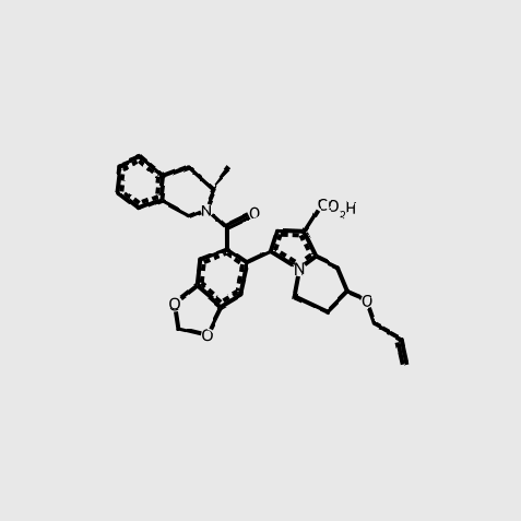 C=CCOC1CCn2c(-c3cc4c(cc3C(=O)N3Cc5ccccc5C[C@H]3C)OCO4)cc(C(=O)O)c2C1